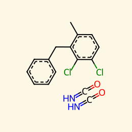 Cc1ccc(Cl)c(Cl)c1Cc1ccccc1.N=C=O.N=C=O